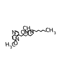 C=C[C@H]1CN(CCCCCCC)CC[C@H]1C[C@@H](O)Cc1ccnc2ccc(OC)nc12